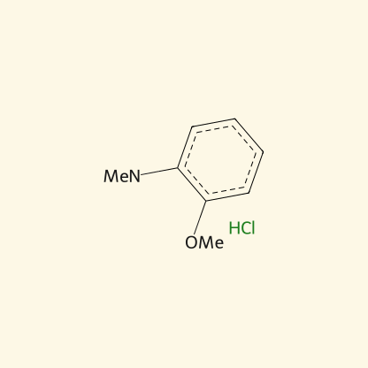 CNc1ccccc1OC.Cl